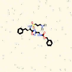 CCN(CC)CCCS(=O)(=O)N[C@H](CCc1ccccc1)c1nc(CNC(=O)OCc2ccccc2)no1